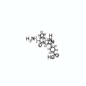 NCCC(C(=O)N1Cc2[nH]nc(-c3ccc(C(=O)O)cc3)c2C1)c1cccs1